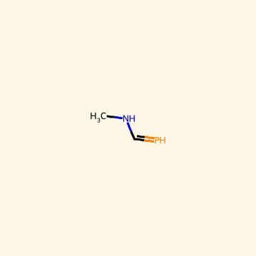 CNC=P